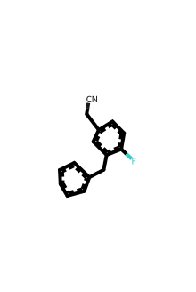 N#CCc1ccc(F)c(Cc2ccccc2)c1